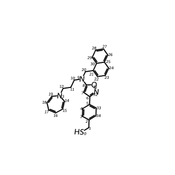 SCc1ccc(-c2cc(N(CCCN3C=CC=CC=C3)Cc3cccc4ccccc34)on2)cc1